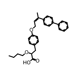 CCCCOC(Cc1ccc(OC/C=C(/C)c2ccc(-c3ccccc3)cc2)cc1)C(=O)O